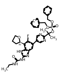 CCNC(=O)Nc1nc2cc(-c3cnc(C(C)(C)OP(=O)(OCc4ccccc4)OCc4ccccc4)nc3)c(F)c([C@H]3CCCO3)c2[nH]1